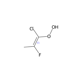 C/C(F)=C(\Cl)OO